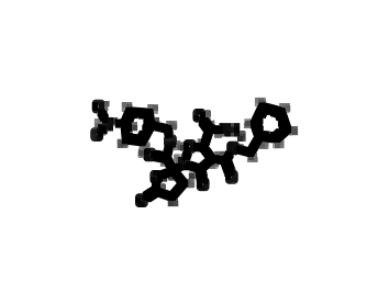 NC(=O)C1ON(C2(C(=O)OCc3ccc([N+](=O)[O-])cc3)CCC(=O)O2)C(=O)C1C(=O)OCc1ccccc1